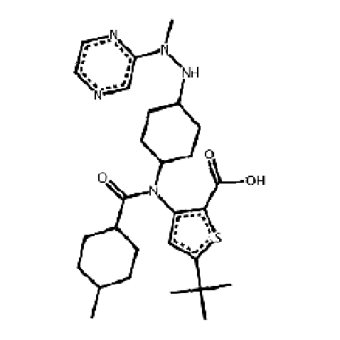 CC1CCC(C(=O)N(c2cc(C(C)(C)C)sc2C(=O)O)C2CCC(NN(C)c3cnccn3)CC2)CC1